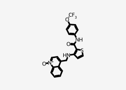 O=C(Nc1ccc(OC(F)(F)F)cc1)c1sccc1NCc1cc[n+]([O-])c2ccccc12